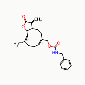 C=C1C(=O)OC2/C=C(\C)CC/C=C(/COC(=O)NCc3ccccc3)CCC12